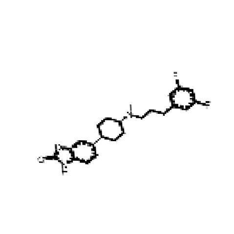 O=c1[nH]c2ccc([C@H]3CC[C@H](NCCCc4cc(F)cc(F)c4)CC3)cc2o1